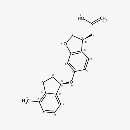 C=C(O)C[C@@H]1COc2cc(O[C@@H]3CCc4c(C)cccc43)ccc21